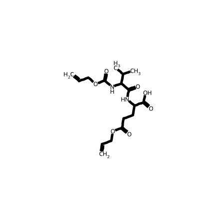 C=CCOC(=O)CCC(NC(=O)C(NC(=O)OCC=C)C(C)C)C(=O)O